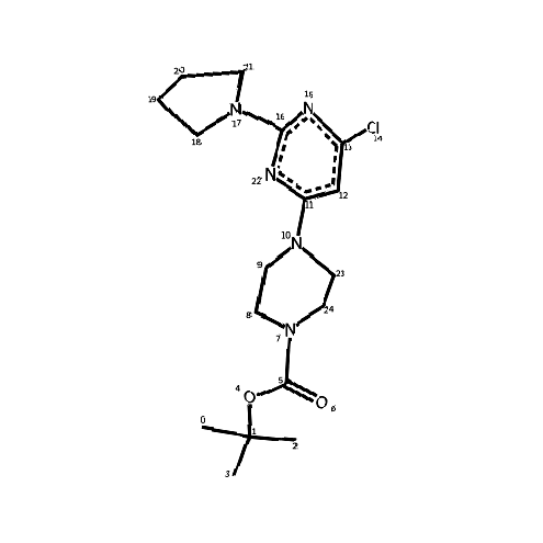 CC(C)(C)OC(=O)N1CCN(c2cc(Cl)nc(N3CCCC3)n2)CC1